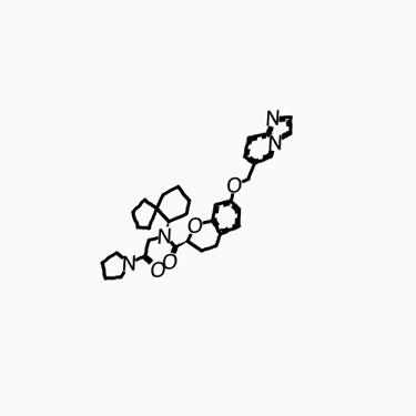 O=C(CN(C(=O)[C@@H]1CCc2ccc(OCc3ccc4nccn4c3)cc2O1)[C@H]1CCCCC12CCCC2)N1CCCC1